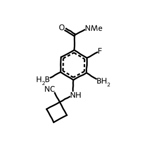 Bc1cc(C(=O)NC)c(F)c(B)c1NC1(C#N)CCC1